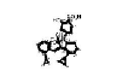 COC1(C)/C(=C\c2c(C)cccc2C2CC2)c2c(C3CC3)cccc2N1c1ccc(C(=O)O)c(O)c1